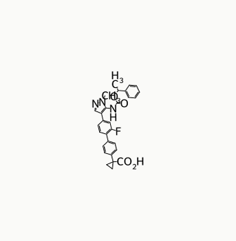 CC(OC(=O)Nc1c(-c2ccc(-c3ccc(C4(C(=O)O)CC4)cc3)c(F)c2)cnn1C)c1ccccc1